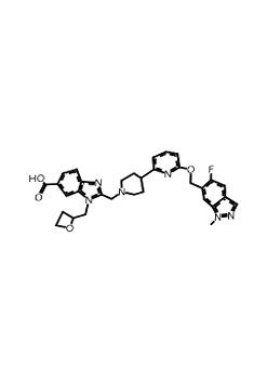 Cn1ncc2cc(F)c(COc3cccc(C4CCN(Cc5nc6ccc(C(=O)O)cc6n5CC5CCO5)CC4)n3)cc21